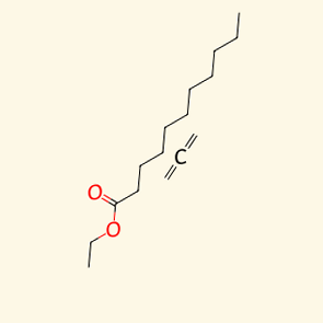 C=C=C.CCCCCCCCCCC(=O)OCC